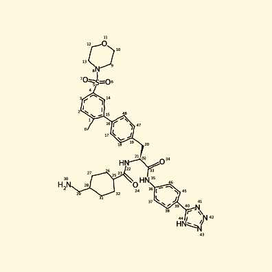 Cc1ccc(S(=O)(=O)N2CCOCC2)cc1-c1ccc(C[C@H](NC(=O)C2CCC(CN)CC2)C(=O)Nc2ccc(-c3nnn[nH]3)cc2)cc1